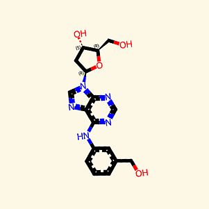 OCc1cccc(Nc2ncnc3c2ncn3[C@H]2C[C@H](O)[C@@H](CO)O2)c1